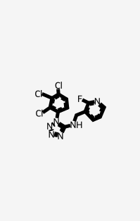 Fc1ncccc1CNc1nnnn1-c1ccc(Cl)c(Cl)c1Cl